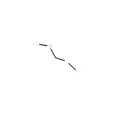 CC(C)NCSC(C)C